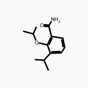 CC(C)Oc1c(C(N)=O)cccc1C(C)C